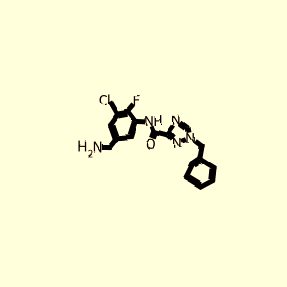 NCc1cc(Cl)c(F)c(NC(=O)c2ncn(Cc3ccccc3)n2)c1